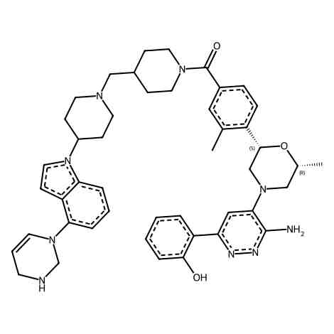 Cc1cc(C(=O)N2CCC(CN3CCC(n4ccc5c(N6C=CCNC6)cccc54)CC3)CC2)ccc1[C@H]1CN(c2cc(-c3ccccc3O)nnc2N)C[C@@H](C)O1